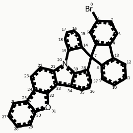 Brc1ccc2c(c1)C1(c3ccccc3-2)c2ccccc2-n2c3ccc4c5ccccc5oc4c3c3cccc1c32